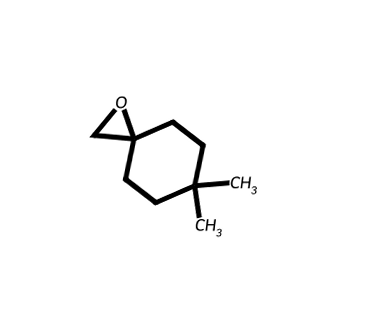 CC1(C)CCC2(CC1)CO2